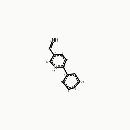 N=Cc1ccc(-c2ccccc2)nc1